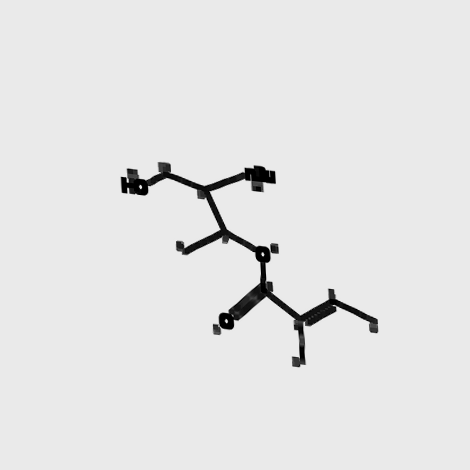 CC=C(C)C(=O)OC(C)C(CO)CCCC